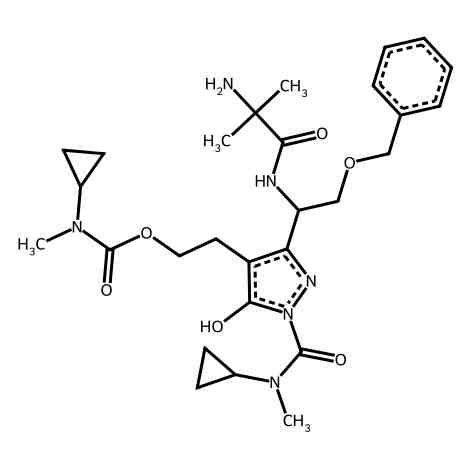 CN(C(=O)OCCc1c(C(COCc2ccccc2)NC(=O)C(C)(C)N)nn(C(=O)N(C)C2CC2)c1O)C1CC1